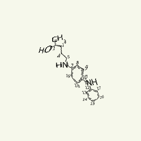 CC(O)CCCNc1ccc(Nc2ccccc2)cc1